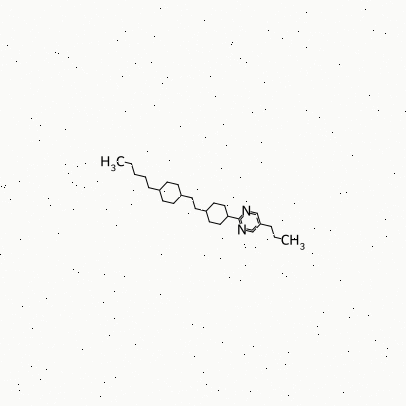 CCCCCC1CCC(CCC2CCC(c3ncc(CCC)cn3)CC2)CC1